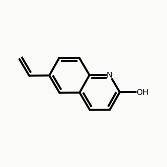 C=Cc1ccc2nc(O)ccc2c1